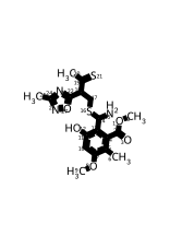 COC(=O)c1c(C)c(OC)cc(O)c1C(N)SCC(C(C)=S)c1nc(C)no1